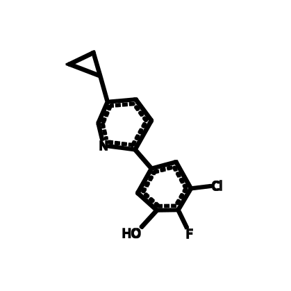 Oc1cc(-c2ccc(C3CC3)cn2)cc(Cl)c1F